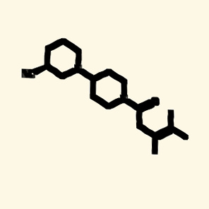 CC(C)=C(C)CC(=O)N1CCC(N2CCC[C@H](C#N)C2)CC1